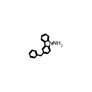 Nn1c2ccccc2c2cc(Cc3ccccc3)ccc21